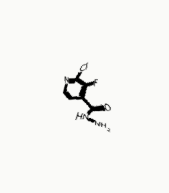 NNC(=O)c1ccnc(Cl)c1F